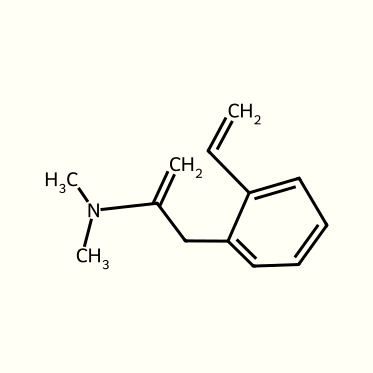 C=Cc1ccccc1CC(=C)N(C)C